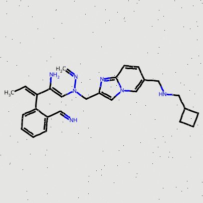 C=NN(/C=C(N)/C(=C/C)c1ccccc1C=N)Cc1cn2cc(CNCC3CCC3)ccc2n1